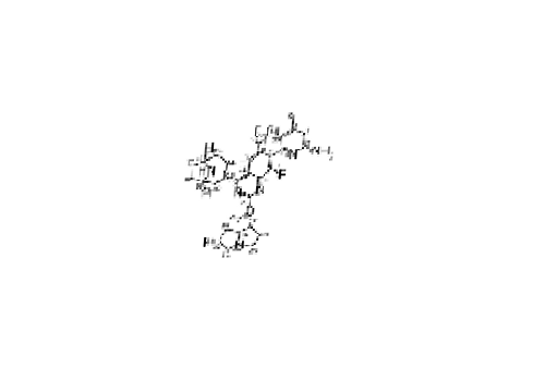 Cc1cc(N)nc(-c2c(Cl)cc3c(N4CC[C@H]5CC[C@@H](C4)N5)nc(OC[C@]45CCCN4C[C@H](F)C5)nc3c2F)c1C(F)(F)F